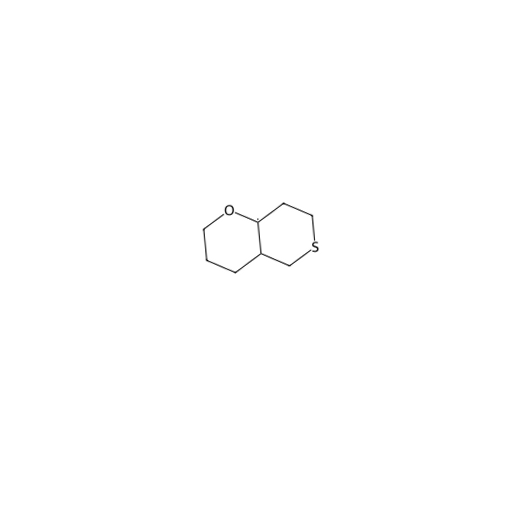 C1CO[C]2CCSCC2C1